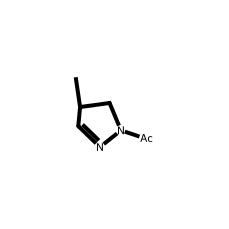 CC(=O)N1CC(C)C=N1